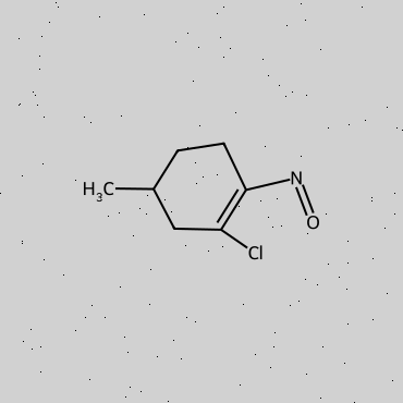 CC1CCC(N=O)=C(Cl)C1